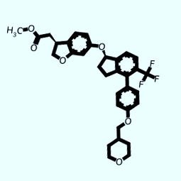 COC(=O)C[C@@H]1COc2cc(O[C@@H]3CCc4c3ccc(C(F)(F)F)c4-c3ccc(OCC4CCOCC4)cc3)ccc21